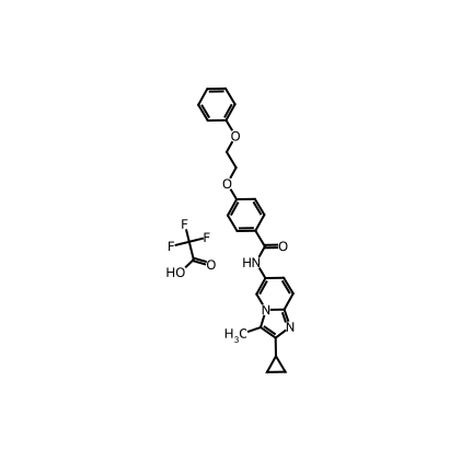 Cc1c(C2CC2)nc2ccc(NC(=O)c3ccc(OCCOc4ccccc4)cc3)cn12.O=C(O)C(F)(F)F